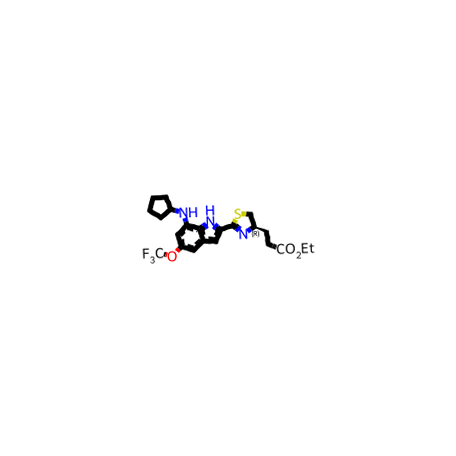 CCOC(=O)CC[C@@H]1CSC(c2cc3cc(OC(F)(F)F)cc(NC4CCCC4)c3[nH]2)=N1